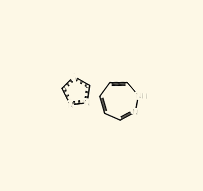 C1=CC=NNC=C1.c1nncs1